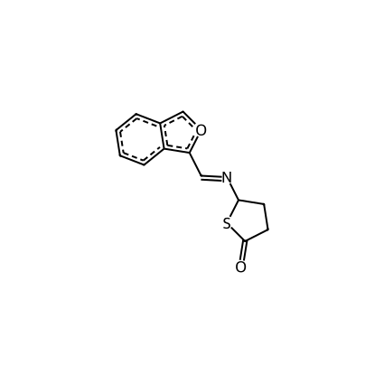 O=C1CCC(N=Cc2occ3ccccc23)S1